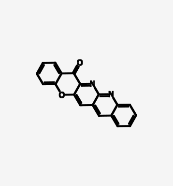 O=c1c2ccccc2oc2cc3cc4ccccc4nc3nc12